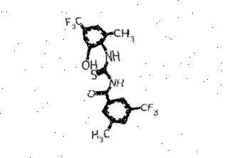 Cc1cc(C(=O)NC(=S)Nc2c(C)cc(C(F)(F)F)cc2O)cc(C(F)(F)F)c1